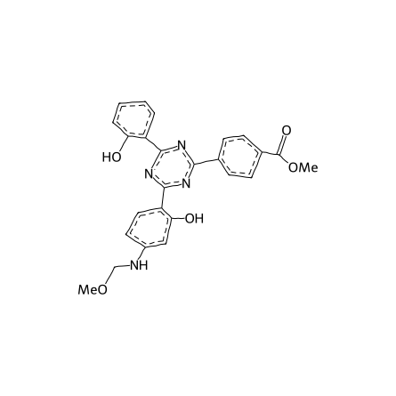 COCNc1ccc(-c2nc(-c3ccc(C(=O)OC)cc3)nc(-c3ccccc3O)n2)c(O)c1